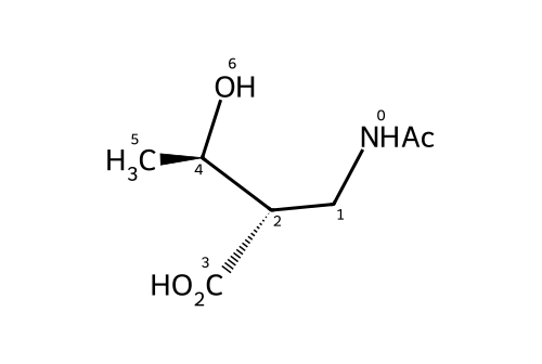 CC(=O)NC[C@H](C(=O)O)[C@@H](C)O